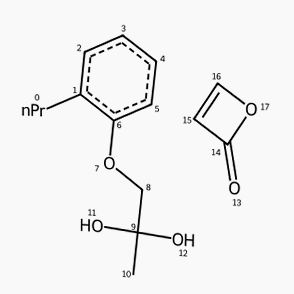 CCCc1ccccc1OCC(C)(O)O.O=C1C=CO1